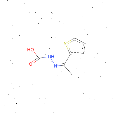 C/C(=N/NC(=O)O)c1cccs1